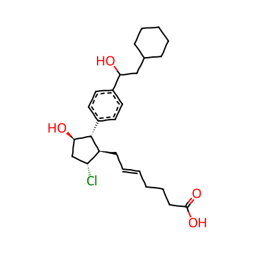 O=C(O)CCCC=CC[C@@H]1[C@@H](c2ccc(C(O)CC3CCCCC3)cc2)[C@H](O)C[C@H]1Cl